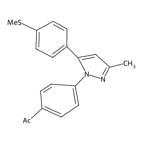 CSc1ccc(-c2cc(C)nn2-c2ccc(C(C)=O)cc2)cc1